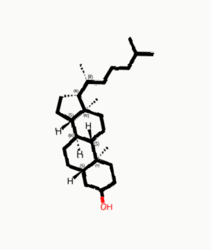 CC(C)CCC[C@@H](C)[C@H]1CC[C@H]2[C@@H]3CC[C@H]4CC(O)CC[C@]4(C)[C@H]3CC[C@]12C